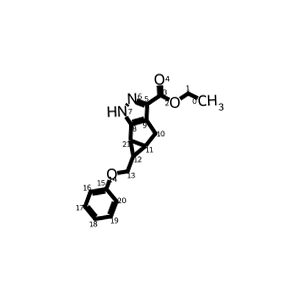 CCOC(=O)c1n[nH]c2c1CC1C(COc3ccccc3)C21